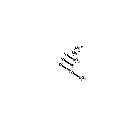 CC(=O)[O-].CC(=O)[O-].O=[N+]([O-])[O-].O=[N+]([O-])[O-].[Mg+2].[Mg+2]